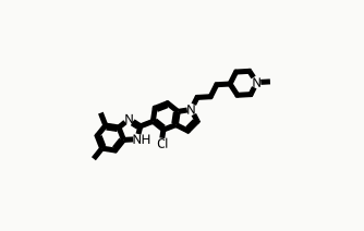 Cc1cc(C)c2nc(-c3ccc4c(ccn4CCCC4CCN(C)CC4)c3Cl)[nH]c2c1